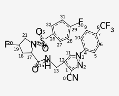 N#Cc1nn(-c2ccc(C(F)(F)F)cc2)cc1CNC(=O)C1CC(F)CN1S(=O)(=O)c1ccc(F)cc1